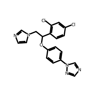 Clc1ccc(C(Cn2ccnc2)Oc2ccc(-n3cncn3)cc2)c(Cl)c1